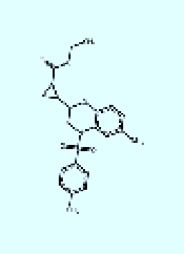 CCOC(=O)C1CC1C1CN(S(=O)(=O)c2ccc(C)cc2)c2cc(N)ccc2O1